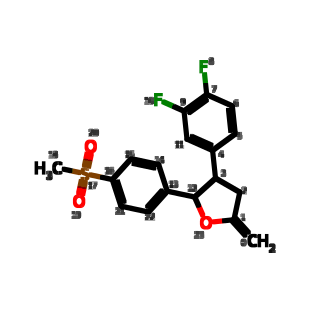 C=C1CC(c2ccc(F)c(F)c2)C(c2ccc(S(C)(=O)=O)cc2)O1